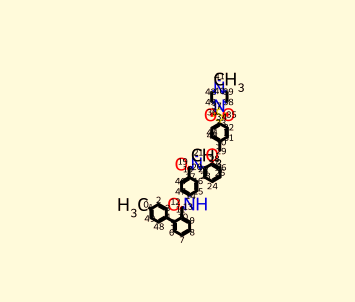 Cc1ccc(-c2ccccc2C(=O)Nc2ccc(C(=O)N(C)c3ccccc3OCc3ccc(S(=O)(=O)N4CCN(C)CC4)cc3)cc2)cc1